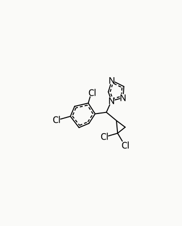 Clc1ccc(C(C2CC2(Cl)Cl)n2cncn2)c(Cl)c1